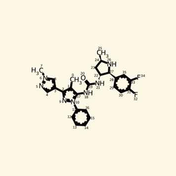 Cc1c(-c2cnn(C)c2)nn(-c2ccccc2)c1NC(=O)N[C@@H]1C[C@@H](C)N[C@H]1c1ccc(F)c(F)c1